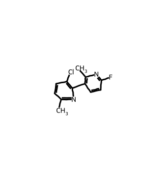 Cc1ccc(Cl)c(-c2ccc(F)nc2C)n1